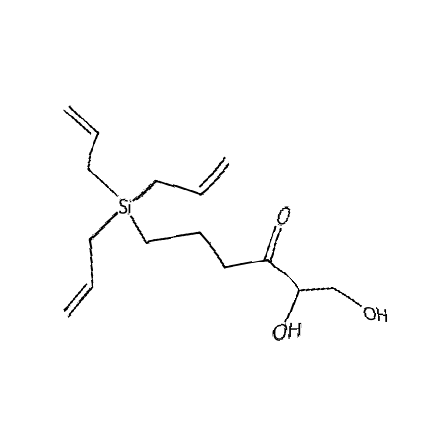 C=CC[Si](CC=C)(CC=C)CCCC(=O)C(O)CO